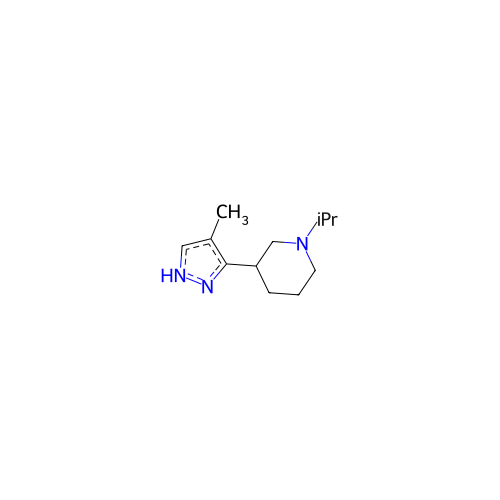 Cc1c[nH]nc1C1CCCN(C(C)C)C1